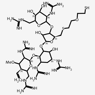 C=C[C@@H]1C(CNC(=N)N)O[C@H](O[C@@H]2C(NC(=N)N)C[C@@H](NC(=N)N)C(O)C2O[C@@H]2O[C@H](CSCCOCCS)C(OC3OC(CNC(=N)N)[C@@H](O)C(O)[C@H]3NC(=N)N)C2O)C(NC(=N)N)C1OC